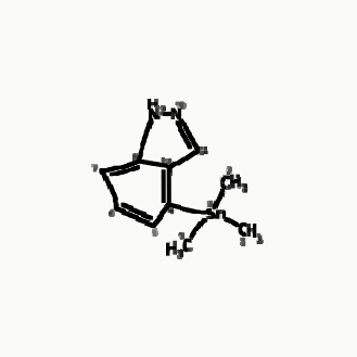 [CH3][Sn]([CH3])([CH3])[c]1cccc2[nH]ncc12